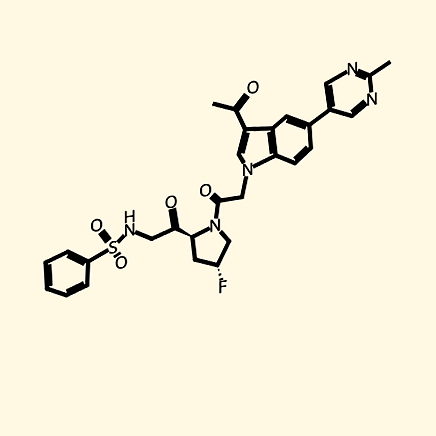 CC(=O)c1cn(CC(=O)N2C[C@H](F)C[C@H]2C(=O)CNS(=O)(=O)c2ccccc2)c2ccc(-c3cnc(C)nc3)cc12